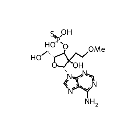 COCC[C@@]1(O)[C@H](OP(O)(O)=S)[C@@H](CO)O[C@H]1n1cnc2c(N)ncnc21